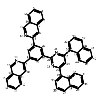 c1ccc2cc(-c3cc(-c4cc5ccccc5cn4)cc(-c4nc(-c5cccc6ccccc56)cc(-c5cccc6ccccc56)n4)c3)ncc2c1